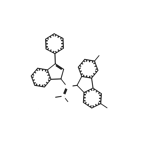 Cc1ccc2c(c1)-c1cc(C)ccc1[CH]2[Zr+2]([CH]1C=C(c2ccccc2)c2ccccc21)=[Si](C)C.[Cl-].[Cl-]